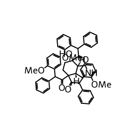 COc1ccccc1C(C(=O)C1(C(=O)C(c2ccccc2)c2ccccc2OC)CC[C@@](O)(C(=O)C(c2ccccc2)c2ccccc2OC)[C@@H]2CNC[C@@H]21)c1ccccc1